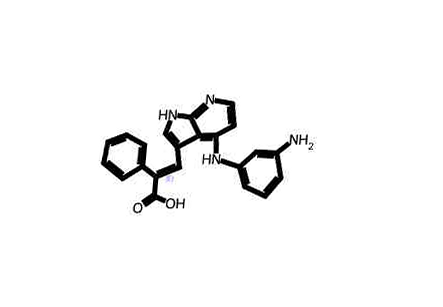 Nc1cccc(Nc2ccnc3[nH]cc(/C=C(/C(=O)O)c4ccccc4)c23)c1